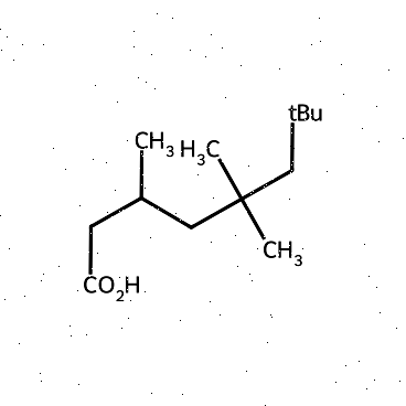 CC(CC(=O)O)CC(C)(C)CC(C)(C)C